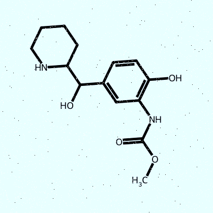 COC(=O)Nc1cc(C(O)C2CCCCN2)ccc1O